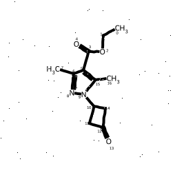 CCOC(=O)c1c(C)nn(C2CC(=O)C2)c1C